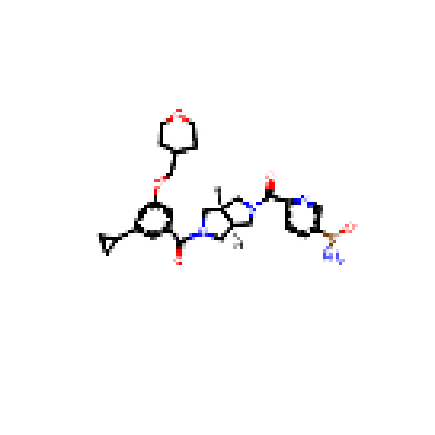 N[S+]([O-])c1ccc(C(=O)N2C[C@H]3CN(C(=O)c4cc(OCC5CCOCC5)cc(C5CC5)c4)C[C@@H]3C2)nc1